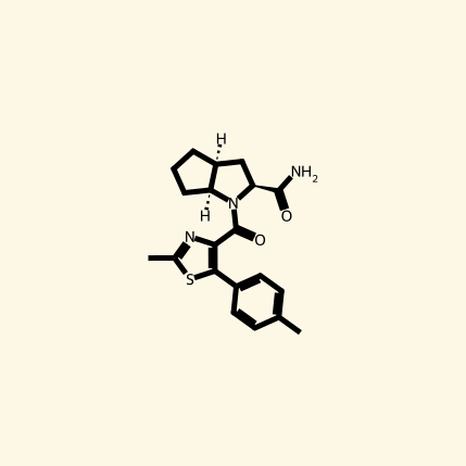 Cc1ccc(-c2sc(C)nc2C(=O)N2[C@H](C(N)=O)C[C@@H]3CCC[C@@H]32)cc1